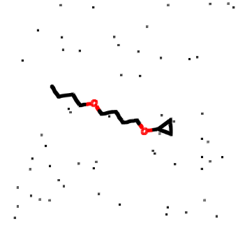 CCCCOCCCCOC1CC1